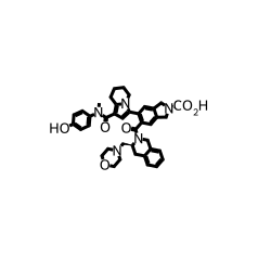 CN(C(=O)c1cc(-c2cc3c(cc2C(=O)N2Cc4ccccc4C[C@H]2CN2CCOCC2)CN(C(=O)O)C3)n2c1CCCC2)c1ccc(O)cc1